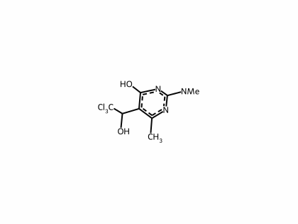 CNc1nc(C)c(C(O)C(Cl)(Cl)Cl)c(O)n1